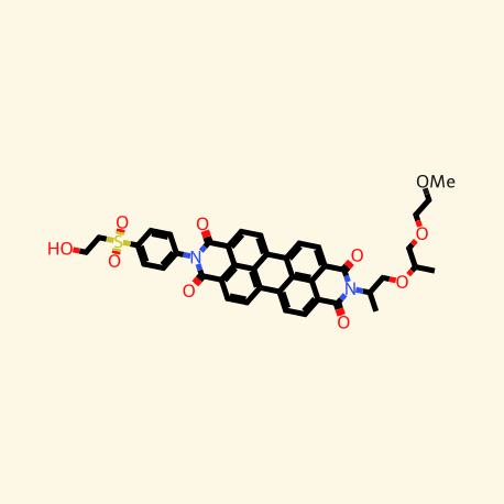 COCCOCC(C)OCC(C)N1C(=O)c2ccc3c4ccc5c6c(ccc(c7ccc(c2c37)C1=O)c64)C(=O)N(c1ccc(S(=O)(=O)CCO)cc1)C5=O